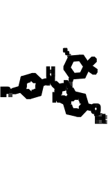 CCOc1ccc2nc(Nc3ccc(C(C)C)cc3)n([C@@H]3C[C@H](C)CC(C)(C)C3)c2c1